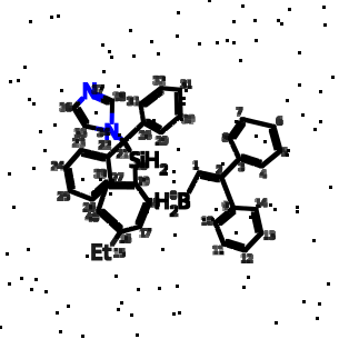 BC=C(c1ccccc1)c1ccccc1.CCc1ccc([SiH2]C(c2ccccc2)(c2ccccc2)n2ccnc2)cc1